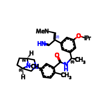 CN/C=C(\C=N)c1cc(OC(C)C)cc([C@@H](C)NC(=O)c2cc(N3C[C@H]4CC[C@@H](C3)N4C)ccc2C)c1